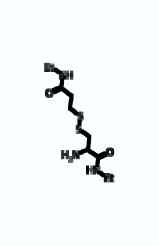 CCNC(=O)CCSSCC(N)C(=O)NCC